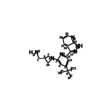 NCC1CN(c2cc(C(F)(F)F)cc(-c3n[nH]c4ncccc34)n2)C1